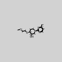 COCCO[C@H]1CCN(c2nccc(C)n2)C[C@H]1O